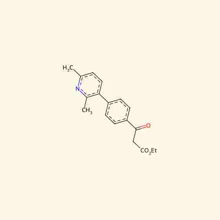 CCOC(=O)CC(=O)c1ccc(-c2ccc(C)nc2C)cc1